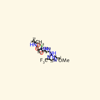 COCc1cn2c(Nc3cc([C@@H]4OC[C@H](OC(=O)NC5(C)CC5)[C@H]4F)[nH]n3)nc(C(F)(F)F)cc2n1